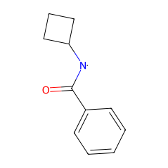 O=C([N]C1CCC1)c1ccccc1